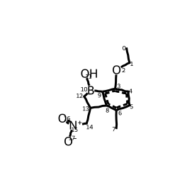 CCOc1ccc(C)c2c1B(O)CC2C[N+](=O)[O-]